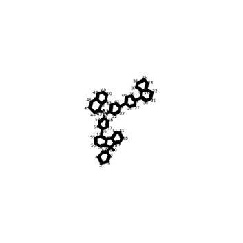 CC1(c2ccccc2)c2ccccc2-c2c(-c3ccc(N(c4ccc(-c5ccc(-c6cccc7ccccc67)cc5)cc4)c4cccc5ccccc45)cc3)cccc21